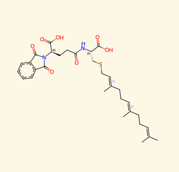 CC(C)=CCC/C(C)=C/CC/C(C)=C/CSC[C@H](NC(=O)CC[C@H](C(=O)O)N1C(=O)c2ccccc2C1=O)C(=O)O